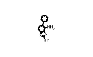 CC(C)c1nc2c(N)c(-c3ccccc3)ccc2s1